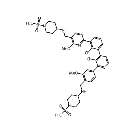 COc1cc(-c2nccc(-c3cccc(-c4ccc(CNC5CCN(S(C)(=O)=O)CC5)c(OC)n4)c3Cl)c2Cl)ccc1CNC1CCN(S(C)(=O)=O)CC1